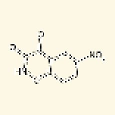 O=c1[nH]oc2ccc([N+](=O)[O-])cc2c1=O